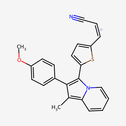 COc1ccc(-c2c(C)c3ccccn3c2-c2ccc(/C=C\C#N)s2)cc1